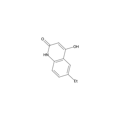 CCc1ccc2[nH]c(=O)cc(O)c2c1